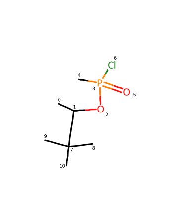 CC(OP(C)(=O)Cl)C(C)(C)C